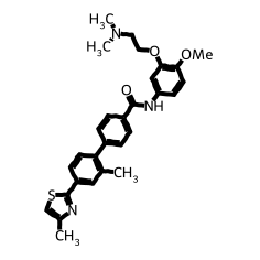 COc1ccc(NC(=O)c2ccc(-c3ccc(-c4nc(C)cs4)cc3C)cc2)cc1OCCN(C)C